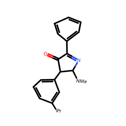 CNC1N=C(c2ccccc2)C(=O)C1c1cccc(C(C)C)c1